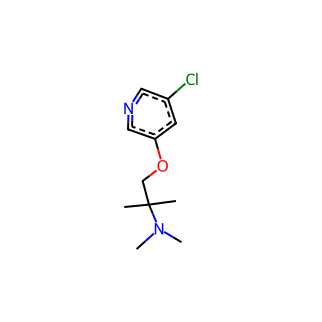 CN(C)C(C)(C)COc1cncc(Cl)c1